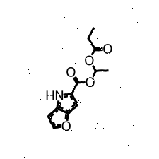 CCC(=O)OC(C)OC(=O)c1cc2occc2[nH]1